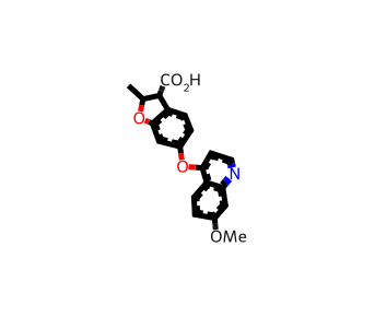 COc1ccc2c(Oc3ccc4c(c3)OC(C)C4C(=O)O)ccnc2c1